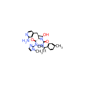 CCC(NC(=O)N1C(O)[C@H](Cc2ccnc(N)c2)[C@H]1C(=O)N(C)c1nccn1C)c1ccc(C)cc1